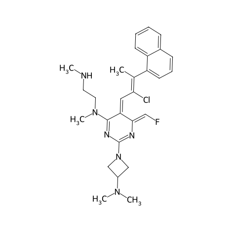 CNCCN(C)c1nc(N2CC(N(C)C)C2)nc(=C\F)/c1=C\C(Cl)=C(/C)c1cccc2ccccc12